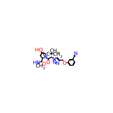 CNC(=O)C1CC(O)CN1C(=O)[C@@H](n1cc(COc2cccc(C#N)c2)nn1)C(C)(C)C